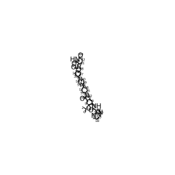 CC(C)Oc1cc2c(cc1NC(=O)c1cnn3cccnc13)CN([C@H]1CC[C@H](N3CCN(c4ccc5c(c4)CN(C4CCC(=O)NC4=O)C5=O)CC3)CC1)C2=O